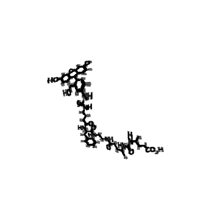 CC(CCC(=O)O)NC(=O)NC(C)CCC(=O)NCCNC(=O)C(Cc1ccccc1)NC(=O)CCCNC(=S)Nc1ccc(-c2c3ccc(=O)cc-3oc3cc(O)ccc23)c(CO)c1